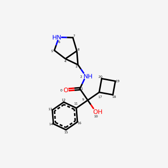 O=C(NC1C2CNCC21)C(O)(c1ccccc1)C1CCC1